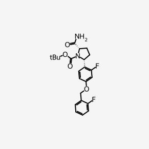 CC(C)(C)OC(=O)N1[C@@H](c2ccc(OCc3ccccc3F)cc2F)CC[C@H]1C(N)=O